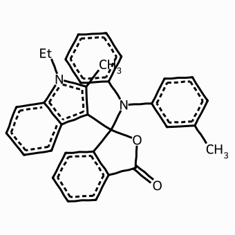 CCn1c(C)c(C2(N(c3ccccc3)c3cccc(C)c3)OC(=O)c3ccccc32)c2ccccc21